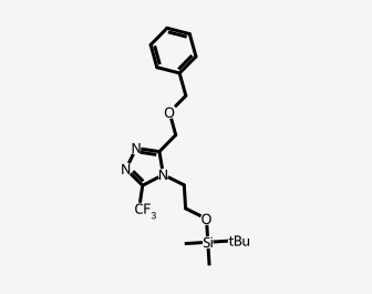 CC(C)(C)[Si](C)(C)OCCn1c(COCc2ccccc2)nnc1C(F)(F)F